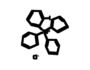 Ic1ccccc1[As+](c1ccccc1)(c1ccccc1)c1ccccc1.[Cl-]